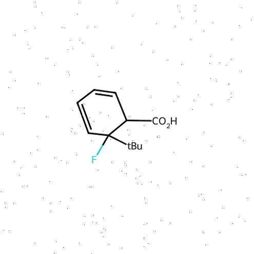 CC(C)(C)C1(F)C=CC=CC1C(=O)O